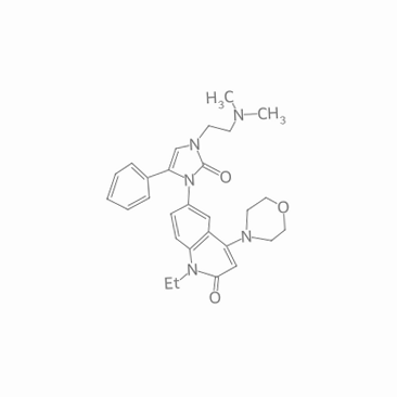 CCn1c(=O)cc(N2CCOCC2)c2cc(-n3c(-c4ccccc4)cn(CCN(C)C)c3=O)ccc21